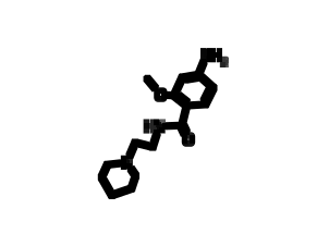 COc1cc(N)ccc1C(=O)NCCN1CCCCC1